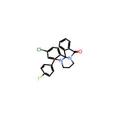 O=C1c2ccccc2C2(c3ccc(Cl)cc3)N(Cc3ccc(F)cc3)CCCN12